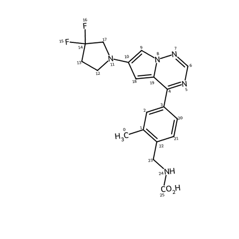 Cc1cc(-c2ncnn3cc(N4CCC(F)(F)C4)cc23)ccc1CNC(=O)O